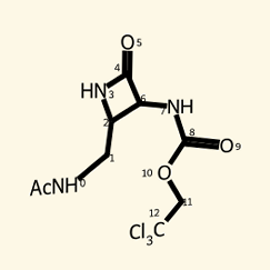 CC(=O)NCC1NC(=O)C1NC(=O)OCC(Cl)(Cl)Cl